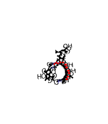 CO[C@H]1/C=C/O[C@@]2(C)Oc3c(C)c(O)c4c(c3C2=O)C(=O)C(/C=N/N2CC3CN(c5c(F)cn6c(=O)c(C(=O)O)cc(C7CC7)c6c5C)CC3C2)=C(CC(=O)/C(C)=C\C=C\[C@H](C)[C@H](O)[C@@H](C)[C@@H](O)[C@@H](C)[C@H](OC(C)=O)[C@@H]1C)C4=O